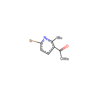 COC(=O)c1ccc(Br)nc1C(C)(C)C